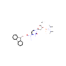 [2H]C[C@H]1O[C@@H](n2ccc(NC(=O)OCC3c4ccccc4-c4ccccc43)nc2=O)CC1OP(OC)N(C(C)C)C(C)C